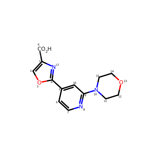 O=C(O)c1coc(-c2ccnc(N3CCOCC3)c2)n1